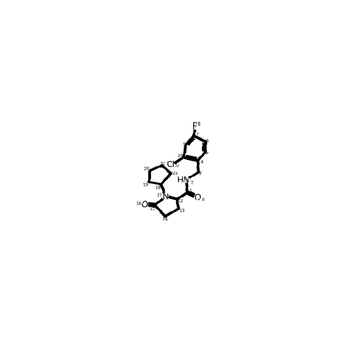 O=C(NCc1ccc(F)cc1Cl)C1CCC(=O)N1C1CCCC1